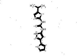 CC(C)c1cnc(NC(=O)Nc2cc(-c3ccco3)n[nH]2)s1